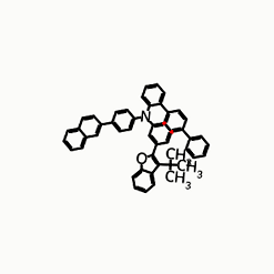 CC(C)(C)c1c(-c2cccc(N(c3ccc(-c4ccc5ccccc5c4)cc3)c3ccccc3-c3ccc(-c4ccccc4)cc3)c2)oc2ccccc12